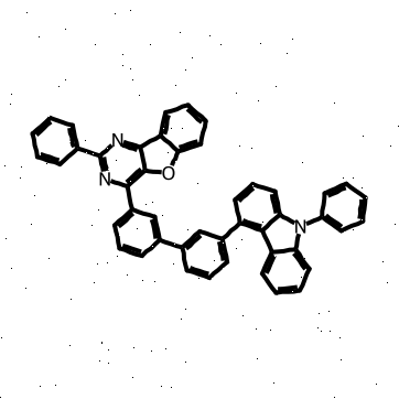 c1ccc(-c2nc(-c3cccc(-c4cccc(-c5cccc6c5c5ccccc5n6-c5ccccc5)c4)c3)c3oc4ccccc4c3n2)cc1